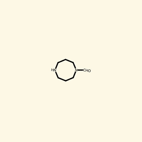 O=CN1CCCNCCC1